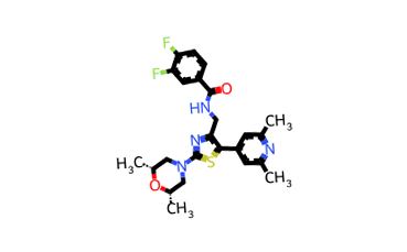 Cc1cc(-c2sc(N3C[C@@H](C)O[C@@H](C)C3)nc2CNC(=O)c2ccc(F)c(F)c2)cc(C)n1